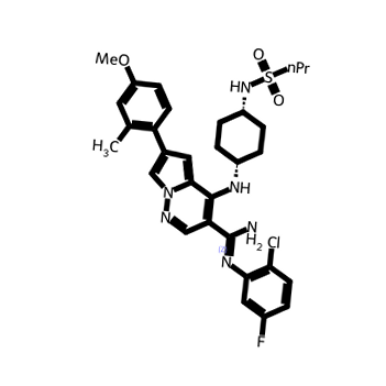 CCCS(=O)(=O)N[C@H]1CC[C@@H](Nc2c(/C(N)=N/c3cc(F)ccc3Cl)cnn3cc(-c4ccc(OC)cc4C)cc23)CC1